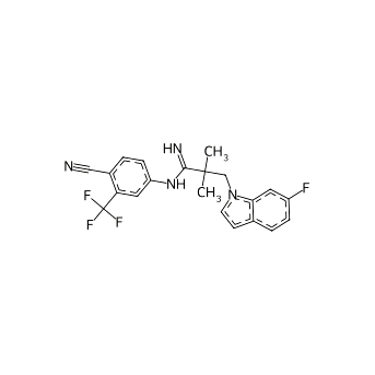 CC(C)(Cn1ccc2ccc(F)cc21)C(=N)Nc1ccc(C#N)c(C(F)(F)F)c1